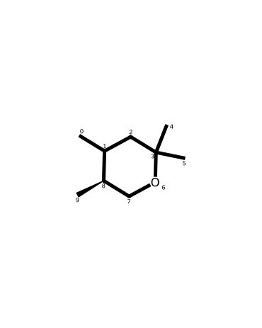 CC1CC(C)(C)OC[C@H]1C